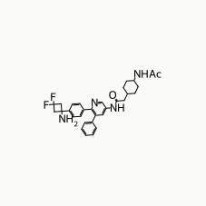 CC(=O)NC1CCC(CC(=O)Nc2cnc(-c3ccc(C4(N)CC(F)(F)C4)cc3)c(-c3ccccc3)c2)CC1